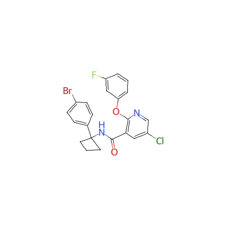 O=C(NC1(c2ccc(Br)cc2)CCC1)c1cc(Cl)cnc1Oc1cccc(F)c1